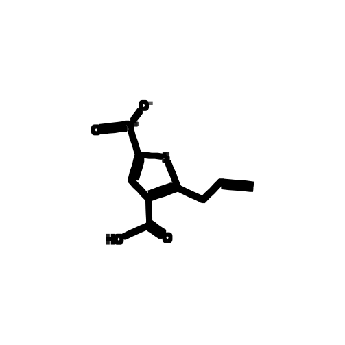 C=CCc1sc([N+](=O)[O-])cc1C(=O)O